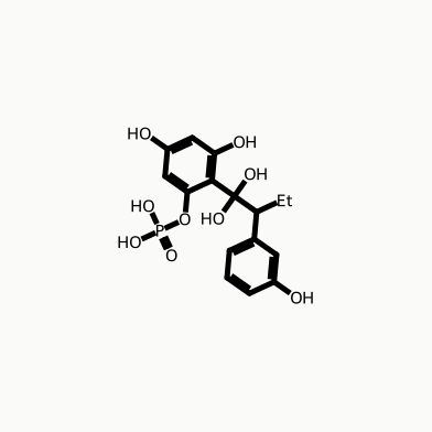 CCC(c1cccc(O)c1)C(O)(O)c1c(O)cc(O)cc1OP(=O)(O)O